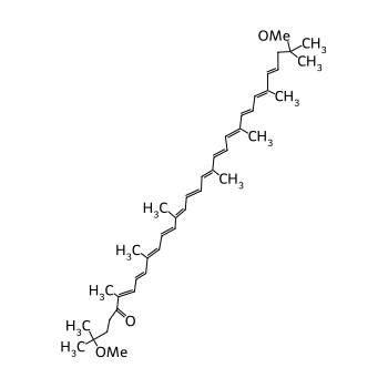 COC(C)(C)C/C=C/C(C)=C/C=C/C(C)=C/C=C/C(C)=C/C=C/C=C(C)/C=C/C=C(C)/C=C/C=C(\C)C(=O)CCC(C)(C)OC